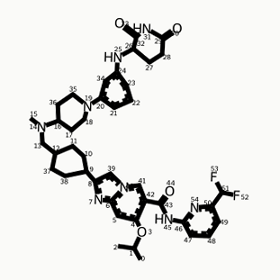 CC(C)Oc1cc2nc(C3CCC(CN(C)C4CCN(c5cccc(NC6CCC(=O)NC6=O)c5)CC4)CC3)cn2cc1C(=O)Nc1cccc(C(F)F)n1